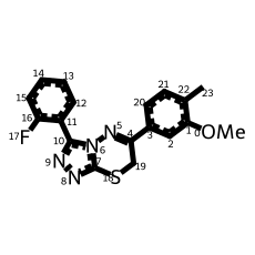 COc1cc(C2=Nn3c(nnc3-c3ccccc3F)SC2)ccc1C